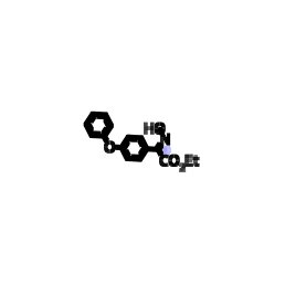 CCOC(=O)/C(=N/O)c1ccc(Oc2ccccc2)cc1